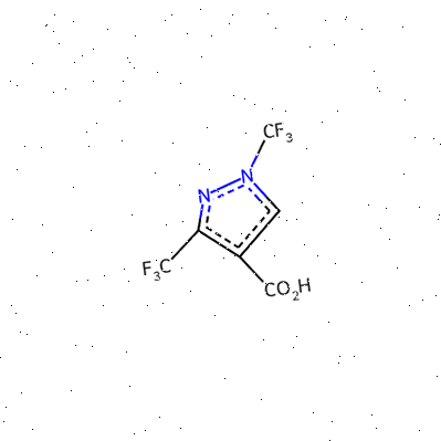 O=C(O)c1cn(C(F)(F)F)nc1C(F)(F)F